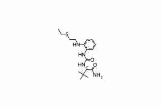 CCSCCNc1ccccc1NC(=O)N[C@H](C(N)=O)C(C)(C)C